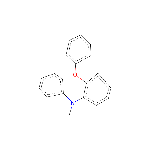 CN(c1ccccc1)c1ccccc1Oc1ccccc1